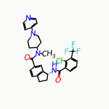 CN(C(=O)c1ccc2c(c1)[C@H](NC(=O)c1cccc(C(F)(F)F)c1Cl)CC2)C1CCN(c2ccncc2)CC1